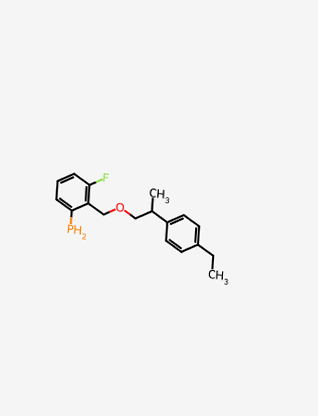 CCc1ccc(C(C)COCc2c(F)cccc2P)cc1